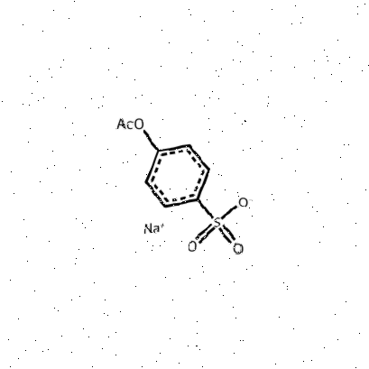 CC(=O)Oc1ccc(S(=O)(=O)[O-])cc1.[Na+]